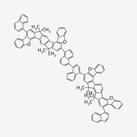 CC1(C)c2cc3c(cc2-c2c1cc(-c1cccc4ccccc14)c1c2oc2ccccc21)C(C)(C)c1cc(-c2cccc4c(-c5ccc(-c6cc7c(c8c6oc6ccccc68)-c6ccc8c(c6C7(C)C)C(C)(C)c6cc(-c7cccc9ccccc79)c7c(oc9ccccc97)c6-8)c6ccccc56)cccc24)c2oc4ccccc4c2c1-3